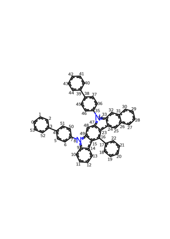 c1ccc(-c2ccc(-n3c4ccccc4c4c(-c5ccccc5)c5c6cc7ccccc7cc6n(-c6ccc(-c7ccccc7)cc6)c5cc43)cc2)cc1